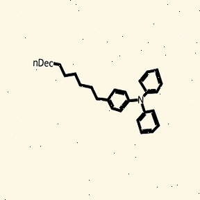 CCCCCCCCCCCCCCCCc1ccc(N(c2ccccc2)c2ccccc2)cc1